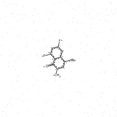 Cn1cc(C(C)(C)C)c2cc(F)cc(F)c2c1=O